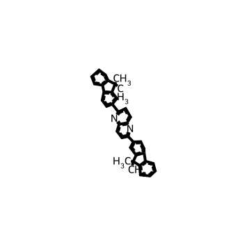 CC1(C)c2ccccc2-c2ccc(-c3ccc4nc(-c5ccc6c(c5)C(C)(C)c5ccccc5-6)ccc4n3)cc21